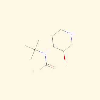 CC(C)(C)N(C(=O)O)[C@@H]1CCNC[C@H]1O